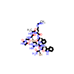 CN/C=N\CCC[C@H](NC(=O)[C@@H](C)NC(=O)[C@H](CS)NC(=O)CN1C(=O)CNC1=O)C(=O)N[C@H](Cc1ccccc1)C(=O)N[C@@H](CCCNC(=N)N)C(=O)N[C@@H](Cc1c[nH]c2ccccc12)C(=O)N[C@@H](CS)C(N)=O